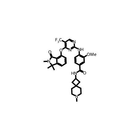 COc1cc(C(=O)NC2CC3(CCN(C)CC3)C2)ccc1Nc1ncc(C(F)(F)F)c(Oc2cccc3c2C(=O)N(C)C3(C)C)n1